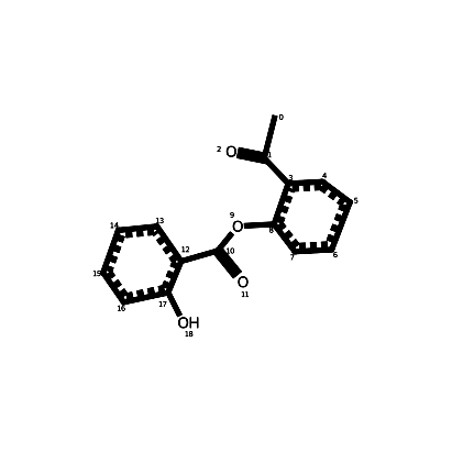 CC(=O)c1ccccc1OC(=O)c1ccccc1O